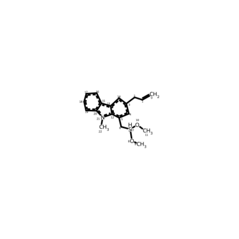 C=CCc1cc(C[SiH](OC)OC)c2c(c1)c1ccccc1n2C